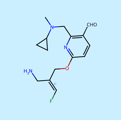 CN(Cc1nc(OC/C(=C/F)CN)ccc1C=O)C1CC1